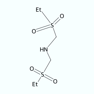 CCS(=O)(=O)CNCS(=O)(=O)CC